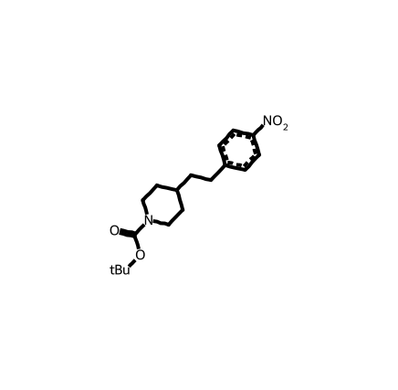 CC(C)(C)OC(=O)N1CCC(CCc2ccc([N+](=O)[O-])cc2)CC1